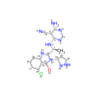 C[C@H](Nc1ncnc(N)c1C#N)c1nc2cccc(Cl)c2c(=O)n1-c1cc[nH]n1